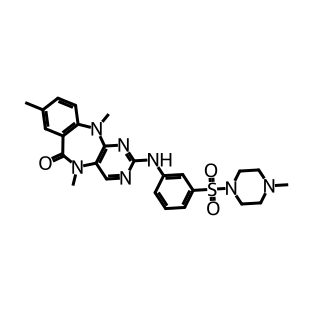 Cc1ccc2c(c1)C(=O)N(C)c1cnc(Nc3cccc(S(=O)(=O)N4CCN(C)CC4)c3)nc1N2C